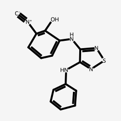 [C-]#[N+]c1cccc(Nc2nsnc2Nc2ccccc2)c1O